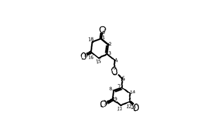 O=C1C=C(COCC2=CC(=O)CC(=O)C2)CC(=O)C1